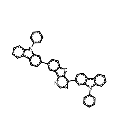 c1ccc(-n2c3ccccc3c3ccc(-c4ccc5oc6c(-c7ccc8c9ccccc9n(-c9ccccc9)c8c7)ncnc6c5c4)cc32)cc1